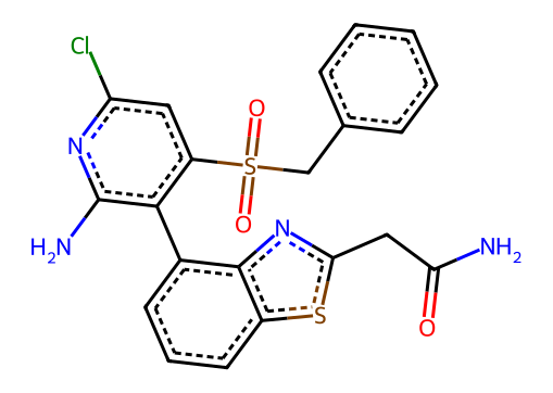 NC(=O)Cc1nc2c(-c3c(S(=O)(=O)Cc4ccccc4)cc(Cl)nc3N)cccc2s1